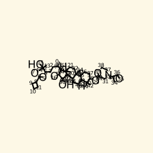 C[C@@H]1CC(C(OC(=O)C2CCC2)C(C)(C)O)OC2[C@H]1C1(C)CCC34CC35CCC(O[C@H]3CN(C6COC6)CCO3)C(C)(C)[C@@H]5CCC4[C@]1(C)[C@H]2O